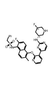 Cc1ccc2c(NS(=O)(=O)CC(C)C)c(F)ccc2c1Oc1ncccc1-c1ccnc(N[C@H]2CNC[C@H](F)C2)n1